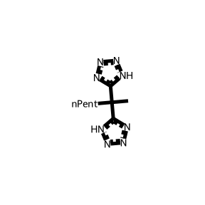 CCCCCC(C)(c1nnn[nH]1)c1nnn[nH]1